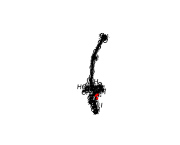 CCC(C)[C@@H]([C@@H](CC(=O)N1CCC[C@H]1[C@H](OC)[C@@H](C)C(=O)NC(Cc1ccccc1)C(=O)O)OC)N(C)C(=O)C(NC(=O)[C@H](C(C)C)N(C)C(=O)OCc1ccc(O[C@H]2C[C@@H](O)[C@@H](O)[C@@H](CO)O2)c2cc(CNC(=O)COCCOCCOCCOCc3cn(CCOCCOCCOCCN4C(=O)C=CC4=O)nn3)sc12)C(C)C